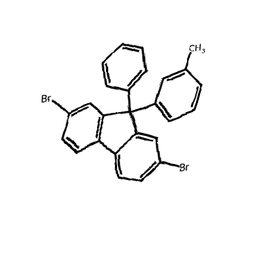 Cc1cccc(C2(c3ccccc3)c3cc(Br)ccc3-c3ccc(Br)cc32)c1